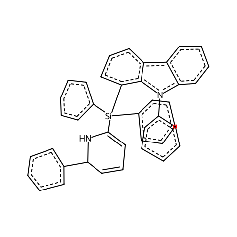 C1=CC(c2ccccc2)NC([Si](c2ccccc2)(c2ccccc2)c2cccc3c4ccccc4n(-c4ccccc4)c23)=C1